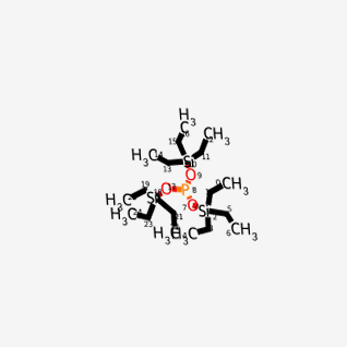 CC[Si](CC)(CC)OP(O[Si](CC)(CC)CC)O[Si](CC)(CC)CC